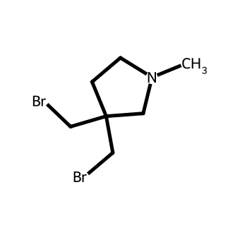 CN1CCC(CBr)(CBr)C1